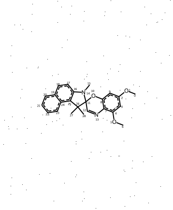 COc1cc(OC)c2c(c1)OC1(C=N2)N(C)c2ccc3ccccc3c2C1(C)C